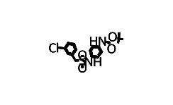 CC(C)(C)OC(=O)Nc1ccc(NS(=O)(=O)Cc2cccc(Cl)c2)cc1